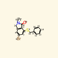 CC(C)N1Cc2cc(Br)cc(SCc3ccccc3)c2C1=O